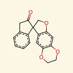 O=C1Cc2ccccc2C12COc1cc3c(cc12)OCCO3